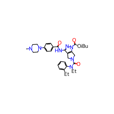 CCc1ccccc1N(CC)C(=O)N1Cc2c(NC(=O)c3ccc(N4CCN(C)CC4)cc3)nn(C(=O)OCC(C)C)c2C1